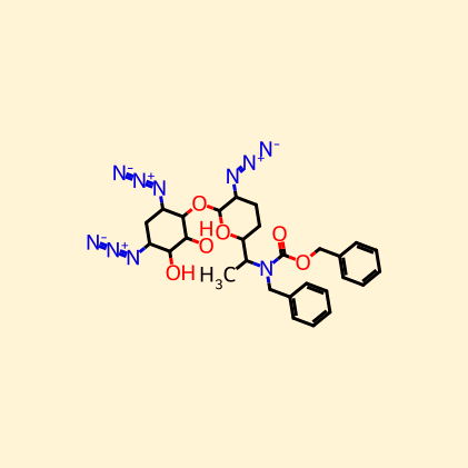 CC(C1CCC(N=[N+]=[N-])C(OC2C(N=[N+]=[N-])CC(N=[N+]=[N-])C(O)C2O)O1)N(Cc1ccccc1)C(=O)OCc1ccccc1